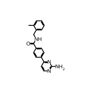 Cc1ccccc1CNC(=O)c1ccc(-c2ccnc(N)n2)cc1